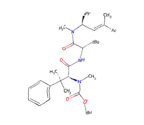 CC(=O)/C(C)=C/[C@H](C(C)C)N(C)C(=O)C(NC(=O)[C@@H](N(C)C(=O)OC(C)(C)C)C(C)(C)c1ccccc1)C(C)(C)C